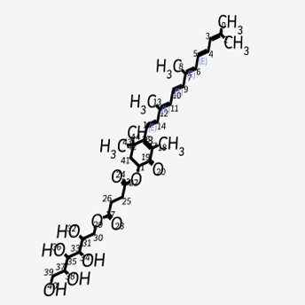 CC(C)=C/C=C/C=C(C)/C=C/C=C(C)/C=C/C1=C(C)C(=O)C(OC(=O)CCC(=O)OCC(O)C(O)C(O)C(O)CO)CC1(C)C